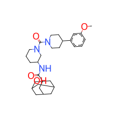 COc1cccc(C2CCN(C(=O)N3CCCC(NC(=O)C45CC6CC(C4)C(O)C(C6)C5)C3)CC2)c1